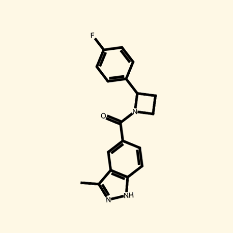 Cc1n[nH]c2ccc(C(=O)N3CCC3c3ccc(F)cc3)cc12